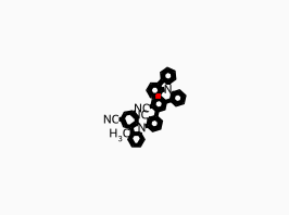 CC12C=CC=CC1N(c1cccc(-c3cc(-c4ccccc4-n4c5ccccc5c5ccccc54)ccc3C#N)c1C#N)C1=C2C=C(C#N)CC=C1